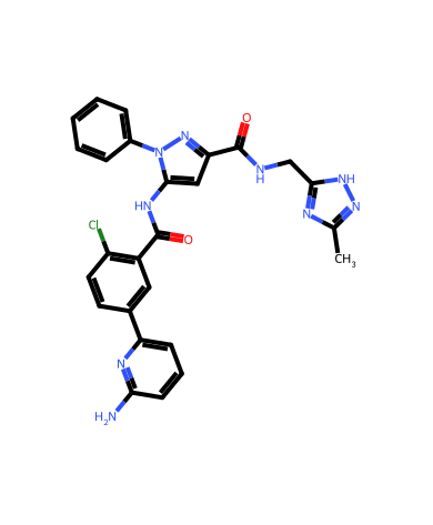 Cc1n[nH]c(CNC(=O)c2cc(NC(=O)c3cc(-c4cccc(N)n4)ccc3Cl)n(-c3ccccc3)n2)n1